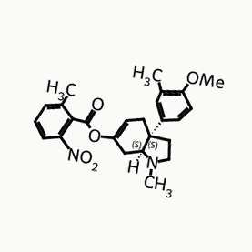 COc1ccc([C@@]23CC=C(OC(=O)c4c(C)cccc4[N+](=O)[O-])C[C@@H]2N(C)CC3)cc1C